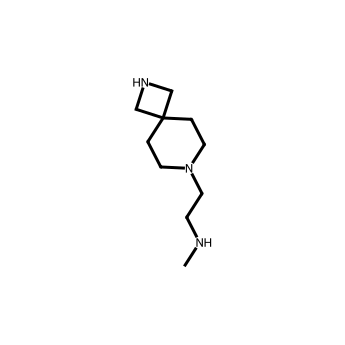 CNCCN1CCC2(CC1)CNC2